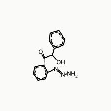 NN=Nc1ccccc1C(=O)C(O)c1ccccc1